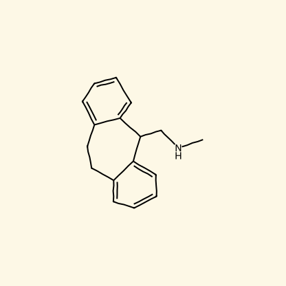 CNCC1c2ccccc2CCc2ccccc21